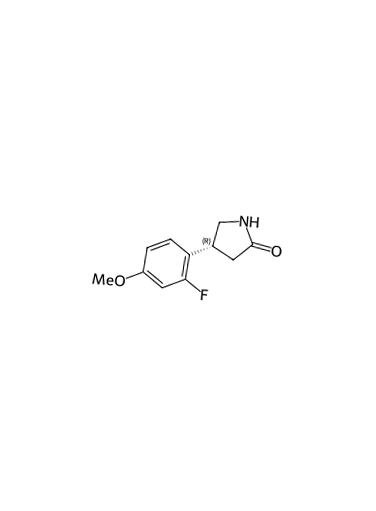 COc1ccc([C@@H]2CNC(=O)C2)c(F)c1